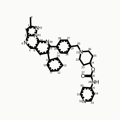 Cc1cc2ncc3cc(-c4ccccc4)c(-c4ccc(CN5CCC(OC(=O)Nc6ccncc6)CC5)cc4)nc3n2n1